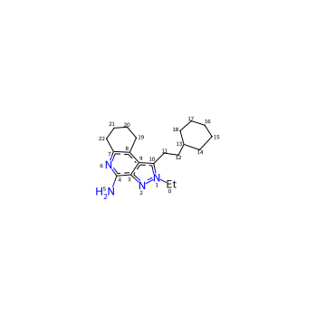 CCn1nc2c(N)nc3c(c2c1CCC1CCCCC1)CCCC3